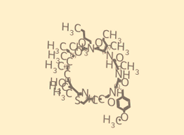 CCCCN1C(=O)O[C@H](C(C)(C)C)C[C@@H](C)C[C@H](O)C(C)(C)C2=N[C@H](CCC(=O)N[C@@H](Cc3ccc(OC)cc3)C(=O)N[C@@H](C)C(=O)N[C@@H]([C@@H](C)CC)C1=O)CS2